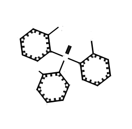 O=P(c1ccccc1S)(c1ccccc1S)c1ccccc1S